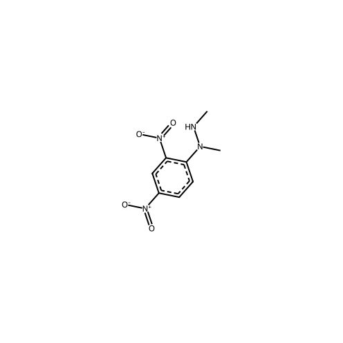 CNN(C)c1ccc([N+](=O)[O-])cc1[N+](=O)[O-]